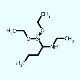 CCCC(NCC)[SiH](OCC)OCC